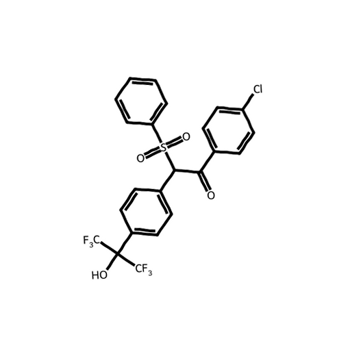 O=C(c1ccc(Cl)cc1)C(c1ccc(C(O)(C(F)(F)F)C(F)(F)F)cc1)S(=O)(=O)c1ccccc1